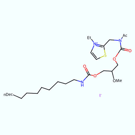 CCCCCCCCCCCCCCCCCCNC(=O)OCC(COC(=O)N(Cc1scc[n+]1CC)C(C)=O)OC.[I-]